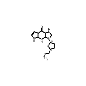 O=C1C2NCN([C@H]3CC[C@@H](COP)O3)C2NC2NC=CN12